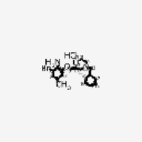 Cc1cc(Br)c(N)c(OC=C2CN(Cc3ccccc3)CCO2)c1.Cl